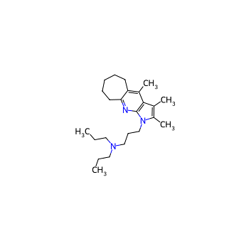 CCCN(CCC)CCCn1c(C)c(C)c2c(C)c3c(nc21)CCCCC3